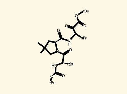 CCCC(NC(=O)[C@@H]1CC(C)(C)CN1C(=O)[C@H](NC(=O)OC(C)(C)C)C(C)(C)C)C(=O)C(=O)OC(C)(C)C